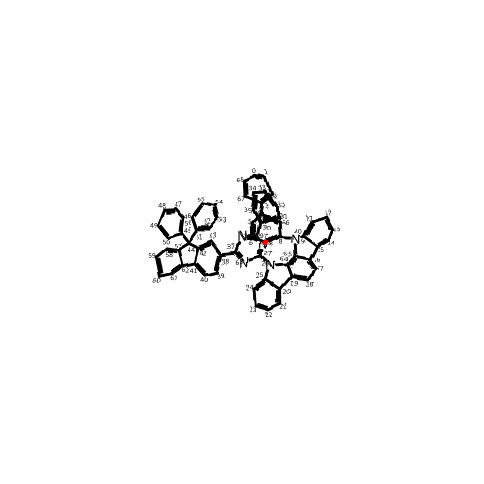 c1ccc(-c2cccc(-n3c4ccccc4c4ccc5c6ccccc6n(-c6nc(-c7ccccc7)nc(-c7ccc8c(c7)C(c7ccccc7)(c7ccccc7)c7ccccc7-8)n6)c5c43)c2)cc1